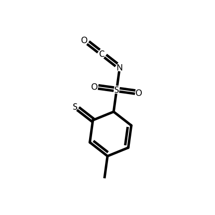 CC1=CC(=S)C(S(=O)(=O)N=C=O)C=C1